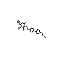 C=CCCc1ccc(-c2ccc(CCc3c(C)cc(OCC)c(F)c3F)cc2)cc1